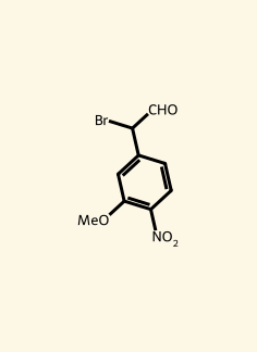 COc1cc(C(Br)C=O)ccc1[N+](=O)[O-]